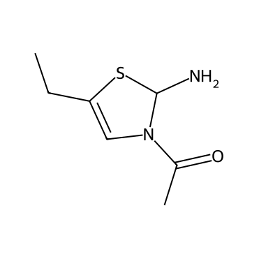 CCC1=CN(C(C)=O)C(N)S1